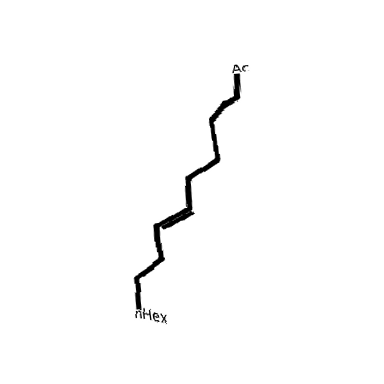 CCCCCCCC/C=C/CCCCC(C)=O